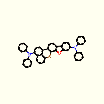 c1ccc(N(c2ccccc2)c2ccc3c(c2)oc2c4c(ccc23)-c2ccc(N(c3ccccc3)c3ccccc3)c3cccc(c23)S4)cc1